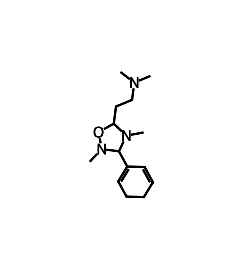 CN(C)CCC1ON(C)C(C2=CCCC=C2)N1C